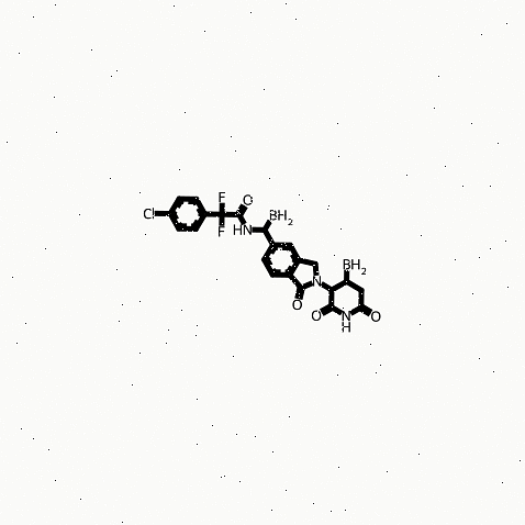 BC(NC(=O)C(F)(F)c1ccc(Cl)cc1)c1ccc2c(c1)CN(C1C(=O)NC(=O)CC1B)C2=O